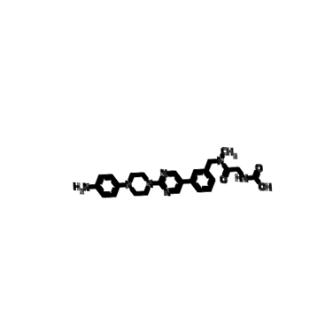 CN(Cc1cccc(-c2cnc(N3CCN(c4ccc(N)cc4)CC3)nc2)c1)C(=O)CNC(=O)O